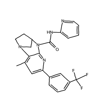 Cc1cc(-c2cccc(C(F)(F)F)c2)nc2c1N1CCC(C1)N2C(=O)Nc1ccccn1